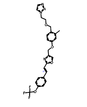 Cc1cc(OCc2coc(/C=C/c3ccc(OC(F)(F)F)cc3)n2)ccc1COCCn1ccnn1